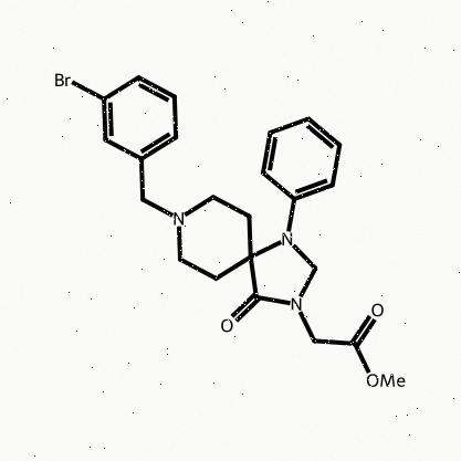 COC(=O)CN1CN(c2ccccc2)C2(CCN(Cc3cccc(Br)c3)CC2)C1=O